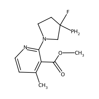 COC(=O)c1c(C)ccnc1N1CCC(F)(P)C1